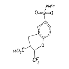 CNS(=O)(=O)c1ccc2c(c1)CC(C(=O)O)C(C(F)(F)F)O2